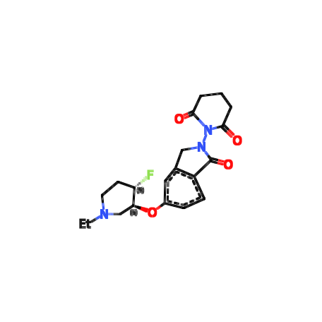 CCN1CC[C@H](F)[C@@H](Oc2ccc3c(c2)CN(N2C(=O)CCCC2=O)C3=O)C1